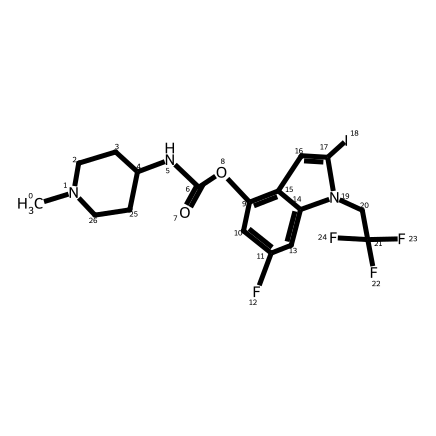 CN1CCC(NC(=O)Oc2cc(F)cc3c2cc(I)n3CC(F)(F)F)CC1